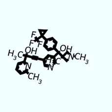 Cc1cccc(C(C)(O)C#Cc2cncc([C@@](O)(c3ccc(C4(C(F)(F)F)CC4)cc3)C3(C)CN(C)C3)c2)n1